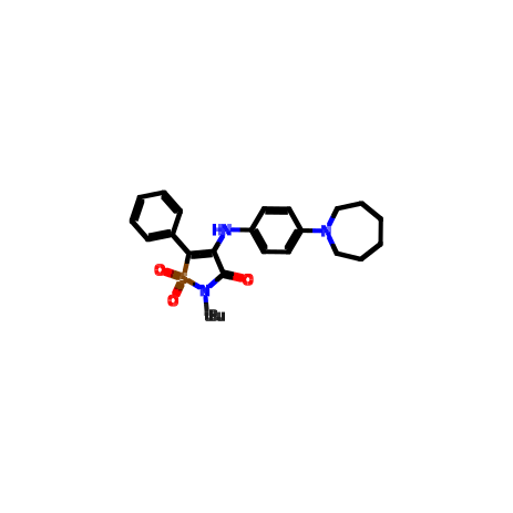 CC(C)(C)N1C(=O)C(Nc2ccc(N3CCCCCC3)cc2)=C(c2ccccc2)S1(=O)=O